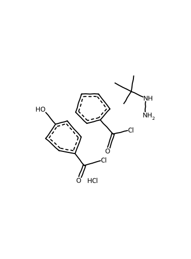 CC(C)(C)NN.Cl.O=C(Cl)c1ccc(O)cc1.O=C(Cl)c1ccccc1